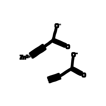 C#CC(=O)[O-].C#CC(=O)[O-].[Zn+2]